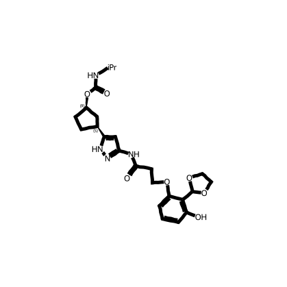 CC(C)NC(=O)O[C@@H]1CC[C@H](c2cc(NC(=O)CCOc3cccc(O)c3C3OCCO3)n[nH]2)C1